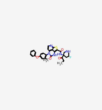 C=CC(=O)[C@]1(NC(=O)c2sc3nccc4c3c2NC(=O)N4c2ccc(Oc3ccccc3)cc2C)CNC[C@H](F)C1